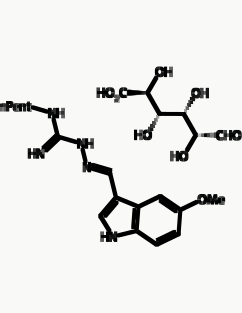 CCCCCNC(=N)N/N=C/c1c[nH]c2ccc(OC)cc12.O=C[C@H](O)[C@@H](O)[C@H](O)[C@H](O)C(=O)O